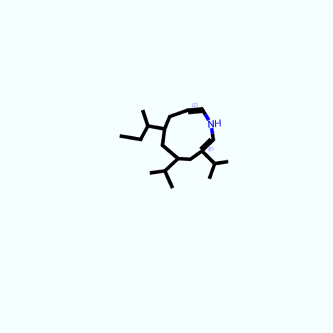 CCC(C)C1C/C=C\N/C=C(/C(C)C)CC(C(C)C)C1